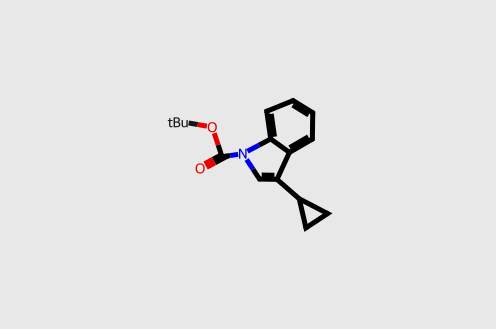 CC(C)(C)OC(=O)n1cc(C2CC2)c2ccccc21